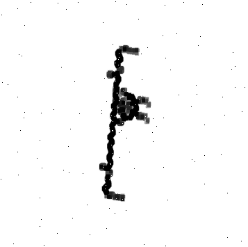 CCCCC/C=C/COC(=O)CCCCCCCCC(CCCCCCCCC(=O)OC/C=C/CCCCC)OC(=O)CC(C)(C)CC(C)(C)CN(C)C